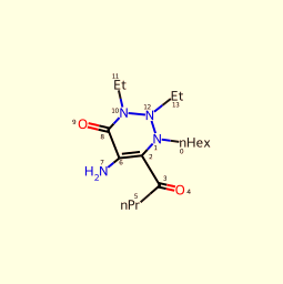 CCCCCCN1C(C(=O)CCC)=C(N)C(=O)N(CC)N1CC